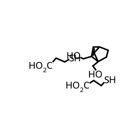 O=C(O)CCS.O=C(O)CCS.OCC1=CC2CCC1(CO)C2